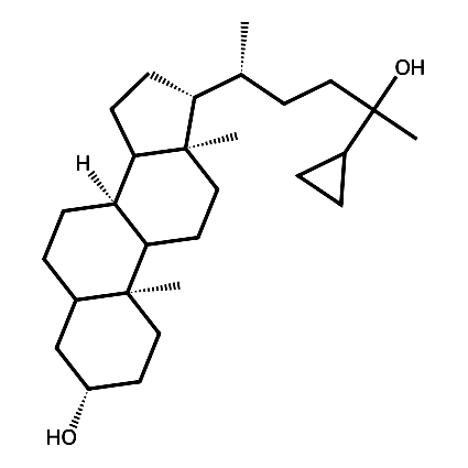 C[C@H](CCC(C)(O)C1CC1)[C@H]1CCC2[C@@H]3CCC4C[C@@H](O)CC[C@]4(C)C3CC[C@@]21C